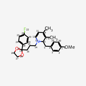 COc1ccc(CC2C(C)=C(C)C=CN2CCCC2(c3ccc(F)cc3)OCCO2)cc1